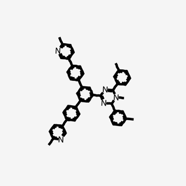 Cc1cccc(C2=NC(c3cc(-c4ccc(-c5ccc(C)nc5)cc4)cc(-c4ccc(-c5ccc(C)nc5)cc4)c3)=NC(c3cccc(C)c3)N2C)c1